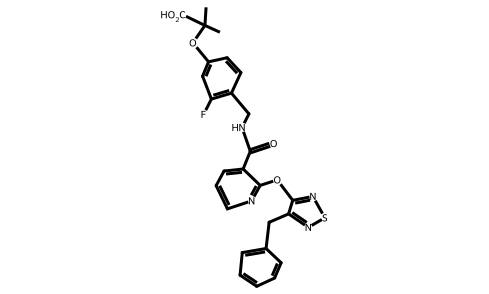 CC(C)(Oc1ccc(CNC(=O)c2cccnc2Oc2nsnc2Cc2ccccc2)c(F)c1)C(=O)O